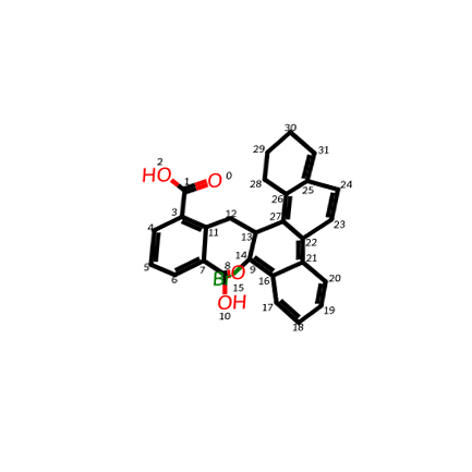 O=C(O)c1cccc(C(=O)O)c1CC1C(Br)=c2ccccc2=c2ccc3c(c21)CCCC=3